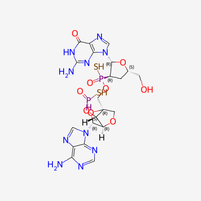 Nc1nc2c(ncn2[C@@H]2O[C@H](CO)C[C@H]2P(=O)(S)OC[C@@]23CO[C@@H]([C@H](n4cnc5c(N)ncnc54)O2)[C@@H]3O[PH](=O)S)c(=O)[nH]1